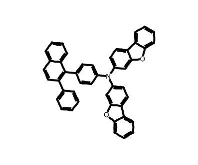 c1ccc(-c2ccc3ccccc3c2-c2ccc(N(c3ccc4c(c3)oc3ccccc34)c3ccc4c(c3)oc3ccccc34)cc2)cc1